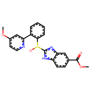 COC(=O)c1ccc2[nH]c([S+]([O-])c3ccccc3-c3cc(OC)ccn3)nc2c1